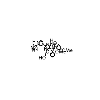 COc1ccc(S(=O)(=O)Nc2nc(-c3ccnc(-c4nnn[nH]4)c3)nc(OCCO)c2Oc2ccccc2OC)cc1